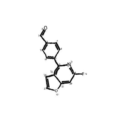 O=Cc1ccc(-c2nc(F)cc3occc23)cc1